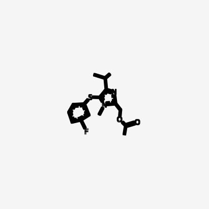 CC(=O)OCc1nc(C(C)C)c(Sc2cccc(F)c2)n1C